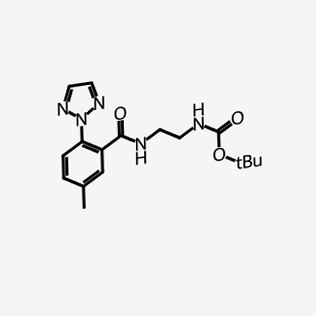 Cc1ccc(-n2nccn2)c(C(=O)NCCNC(=O)OC(C)(C)C)c1